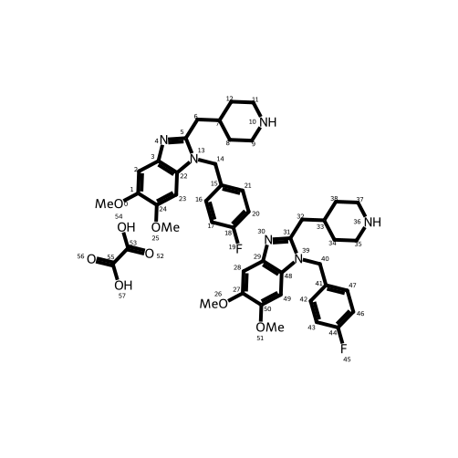 COc1cc2nc(CC3CCNCC3)n(Cc3ccc(F)cc3)c2cc1OC.COc1cc2nc(CC3CCNCC3)n(Cc3ccc(F)cc3)c2cc1OC.O=C(O)C(=O)O